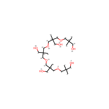 CC(C)(CO)COCC(C)(CO)COCC(C)(CO)COCC(C)(CO)COCC(C)(C)CO